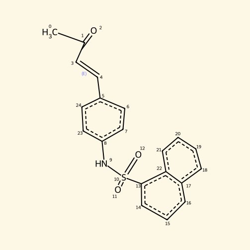 CC(=O)/C=C/c1ccc(NS(=O)(=O)c2cccc3ccccc23)cc1